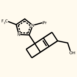 CC(C)n1cc(C(F)(F)F)nc1C12C3=C4C1C1C2C3C41CO